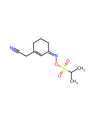 CC(C)S(=O)(=O)ON=C1C=C(CC#N)CCC1